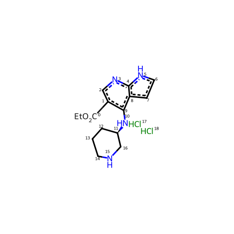 CCOC(=O)c1cnc2[nH]ccc2c1N[C@@H]1CCCNC1.Cl.Cl